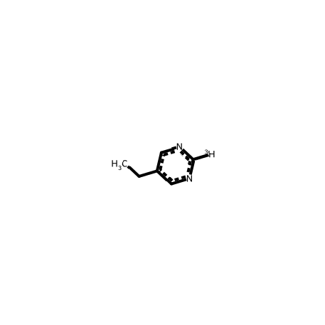 [3H]c1ncc(CC)cn1